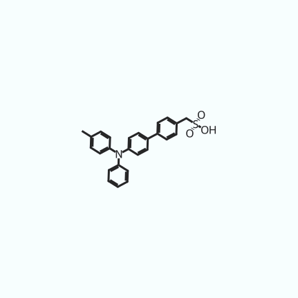 Cc1ccc(N(c2ccccc2)c2ccc(-c3ccc(CS(=O)(=O)O)cc3)cc2)cc1